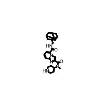 CN(C(=O)c1cn2c(C(=O)NCC34CC5CC(CC(C5)C3)C4)cccc2n1)C1CCNCC1